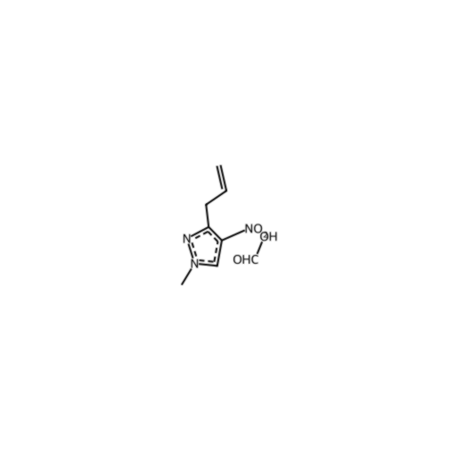 C=CCc1nn(C)cc1[N+](=O)[O-].O=CO